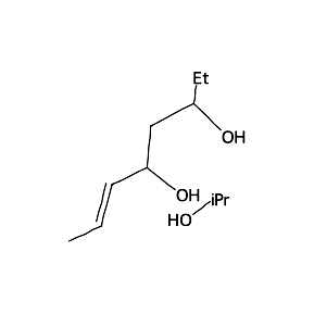 CC(C)O.CC=CC(O)CC(O)CC